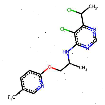 CC(COc1ccc(C(F)(F)F)cn1)Nc1ncnc(C(C)Cl)c1Cl